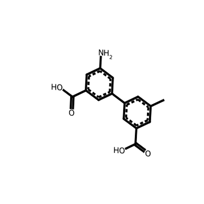 Cc1cc(C(=O)O)cc(-c2cc(N)cc(C(=O)O)c2)c1